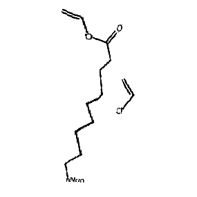 C=CCl.C=COC(=O)CCCCCCCCCCCCCCCCC